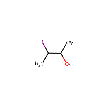 CCCC([O])C(C)I